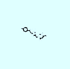 Cn1c(CO)cc(=O)n(Cc2nc(C[C@H](O)c3ccc(Cl)cc3)no2)c1=O